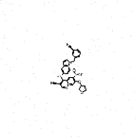 N#Cc1cccc(Cn2ccc3cc(Nc4c(C#N)cnc5cc(OC6CCOC6)c([N+](=O)[O-])cc45)ccc32)c1